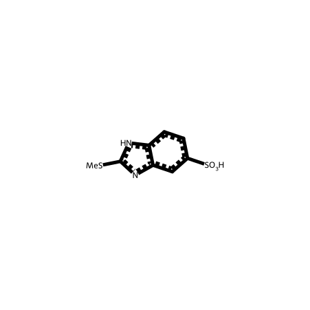 CSc1nc2cc(S(=O)(=O)O)ccc2[nH]1